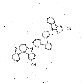 N#Cc1ccc2c(c1)c1ccccc1n2-c1cccc(-c2ccccc2-c2cccc(-n3c4ccc(C#N)cc4c4c5c(ccc43)sc3ccccc35)c2)c1